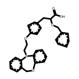 O=C(O)C(Cc1ccc(OCCN2c3ccccc3COc3ccccc32)cc1)OCc1ccccc1